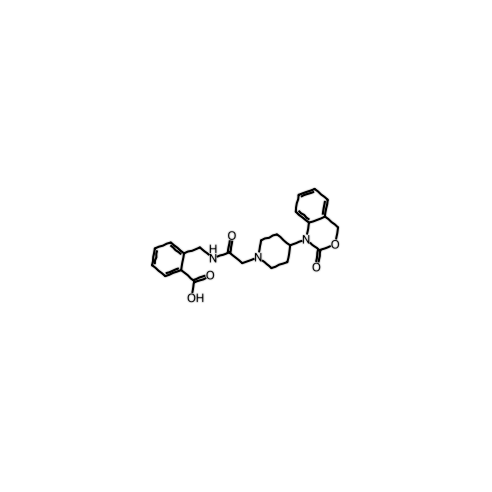 O=C(CN1CCC(N2C(=O)OCc3ccccc32)CC1)NCc1ccccc1C(=O)O